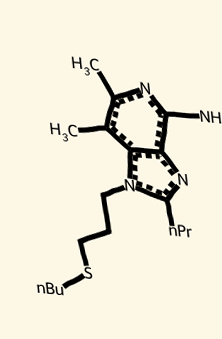 CCCCSCCCn1c(CCC)nc2c(N)nc(C)c(C)c21